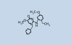 CCc1ccc(OC)cc1Nc1nc(=O)c(OC)cn1Cc1ccccc1